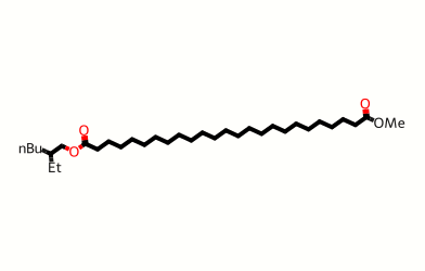 CCCCC(CC)COC(=O)CCCCCCCCCCCCCCCCCCCCCCCC(=O)OC